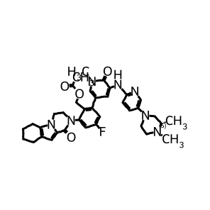 CC(=O)OCc1c(-c2cc(Nc3ccc(N4CCN(C)[C@@H](C)C4)cn3)c(=O)n(C)c2)cc(F)cc1N1CCn2c(cc3c2CCCC3)C1=O